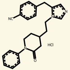 Cl.N#Cc1ccc(Cc2cncn2CCC2CCN(c3ccccc3)C(=O)C2)cc1